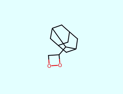 C1C2CC3CC1CC(C2)C3C1COO1